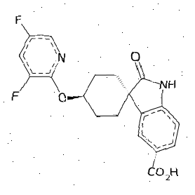 O=C(O)c1ccc2c(c1)[C@]1(CC[C@H](Oc3ncc(F)cc3F)CC1)C(=O)N2